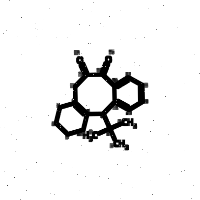 CC(C)(C)C1C2=C(CCCC2)CC(=O)C(=O)c2ccccc21